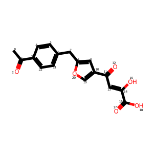 CC(=O)c1ccc(Cc2cc(C(=O)/C=C(\O)C(=O)O)co2)cc1